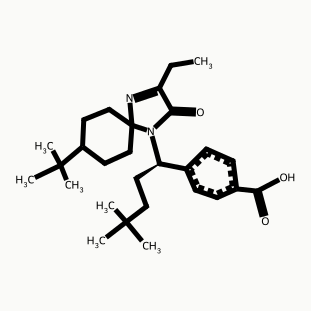 CCC1=NC2(CCC(C(C)(C)C)CC2)N([C@H](CCC(C)(C)C)c2ccc(C(=O)O)cc2)C1=O